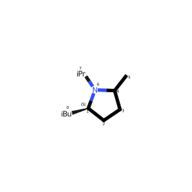 CCC(C)[C@@H]1CCC(C)N1C(C)C